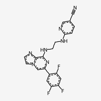 N#Cc1ccc(NCCNc2nc(-c3cc(F)c(F)cc3F)cn3ccnc23)nc1